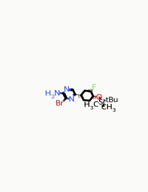 CC(C)(C)[Si](C)(C)O[C@H]1CC[C@H](c2cnc(N)c(Br)n2)C[C@@H]1F